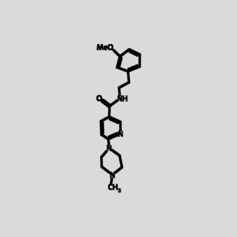 COc1cccc(CCNC(=O)c2ccc(N3CCN(C)CC3)nc2)c1